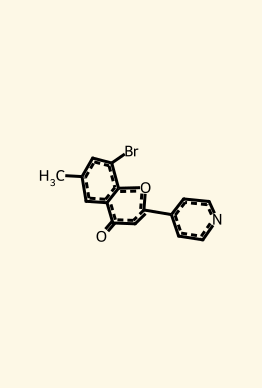 Cc1cc(Br)c2oc(-c3ccncc3)cc(=O)c2c1